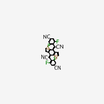 N#C/C(c1c(F)cc(C#N)cc1F)=c1\c2ccsc2/c(=C(/C#N)c2c(F)cc(C#N)cc2F)c2ccsc12